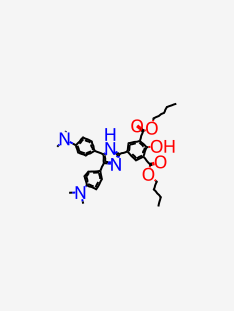 CCCCOC(=O)c1cc(-c2nc(-c3ccc(N(C)C)cc3)c(-c3ccc(N(C)C)cc3)[nH]2)cc(C(=O)OCCCC)c1O